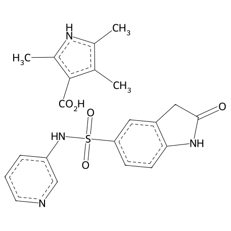 Cc1[nH]c(C)c(C(=O)O)c1C.O=C1Cc2cc(S(=O)(=O)Nc3cccnc3)ccc2N1